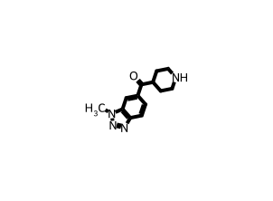 Cn1nnc2ccc(C(=O)C3CCNCC3)cc21